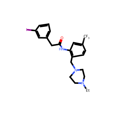 CCN1CCN(Cc2ccc(C(F)(F)F)cc2NC(=O)Cc2cccc(I)c2)CC1